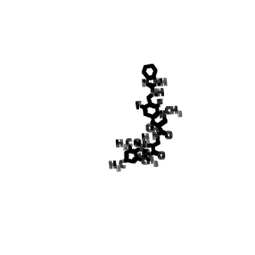 Cc1cc(C)c(S(=O)(=O)NC(CNC(=O)c2cn(C)c3c(F)c(CNc4nc5c([nH]4)CCCC5)c(F)cc3c2=O)C(=O)O)c(C)c1